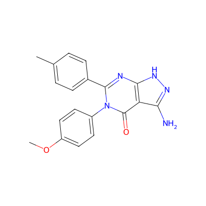 COc1ccc(-n2c(-c3ccc(C)cc3)nc3[nH]nc(N)c3c2=O)cc1